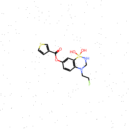 O=C(Oc1ccc2c(c1)S(O)(O)NCN2CCF)c1ccsc1